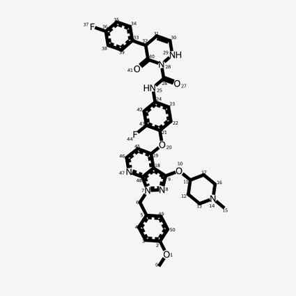 COc1ccc(Cn2nc(OC3CCN(C)CC3)c3c(Oc4ccc(NC(=O)N5NC=CC(c6ccc(F)cc6)C5=O)cc4F)ccnc32)cc1